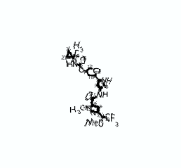 CO[C@H](c1cc(C(=O)Nc2cc([C@H]3C[C@@H](OC(=O)NC4(C)CC4)CO3)[nH]n2)n(C)n1)C(F)(F)F